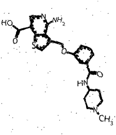 CN1CCC(NC(=O)c2cccc(OCc3csc4c(C(=O)O)cnc(N)c34)c2)CC1